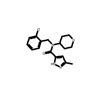 Cc1cc(C(=O)N(Cc2ccccc2Cl)C2CCOCC2)[nH]n1